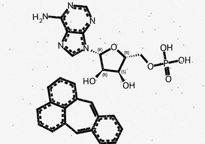 C1=c2ccccc2=Cc2cccc3cccc1c23.Nc1ncnc2c1ncn2[C@@H]1O[C@H](COP(=O)(O)O)[C@@H](O)[C@H]1O